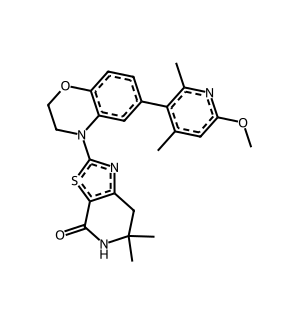 COc1cc(C)c(-c2ccc3c(c2)N(c2nc4c(s2)C(=O)NC(C)(C)C4)CCO3)c(C)n1